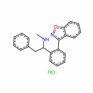 CNC(Cc1ccccc1)c1ccccc1-c1noc2ccccc12.Cl